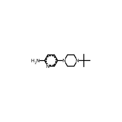 CC(C)(C)N1CCN(c2ccc(N)nc2)CC1